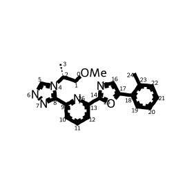 COC[C@@H](C)n1cnnc1-c1cccc(-c2ncc(-c3ccccc3C)o2)n1